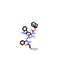 C[C@](Cc1c[nH]c2ccccc12)(NC(=O)OC1C2CC3CC(C2)CC1C3)C(=O)NC[C@H](NC(=O)/C=C/C(=O)O)c1ccccc1